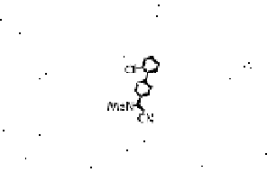 CN/C(=C\C#N)c1ccc(-c2ccccc2Cl)cc1